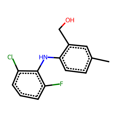 Cc1ccc(Nc2c(F)cccc2Cl)c(CO)c1